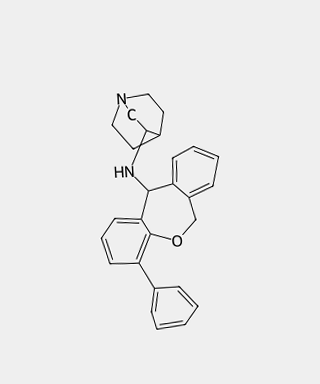 c1ccc(-c2cccc3c2OCc2ccccc2C3NC2CN3CCC2CC3)cc1